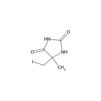 CC1(CI)NC(=O)NC1=O